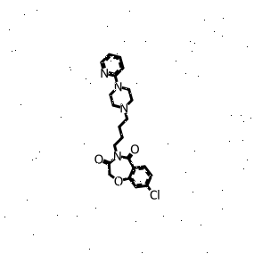 O=C1COc2cc(Cl)ccc2C(=O)N1CCCCN1CCN(c2ccccn2)CC1